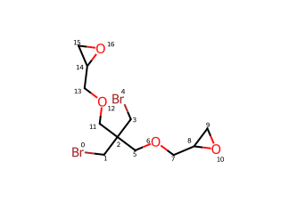 BrCC(CBr)(COCC1CO1)COCC1CO1